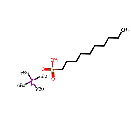 CCCCCCCCCCS(=O)(=O)O.CCCC[PH](CCCC)(CCCC)CCCC